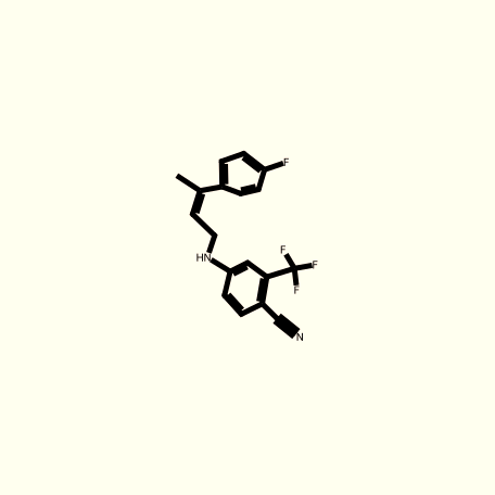 CC(=CCNc1ccc(C#N)c(C(F)(F)F)c1)c1ccc(F)cc1